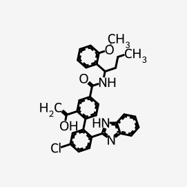 C=C(O)c1cc(C(=O)NC(CCC)c2ccccc2OC)ccc1-c1cc(Cl)ccc1-c1nc2ccccc2[nH]1